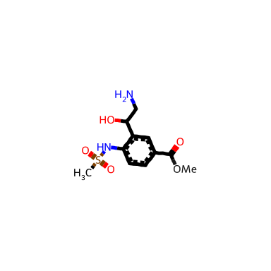 COC(=O)c1ccc(NS(C)(=O)=O)c(C(O)CN)c1